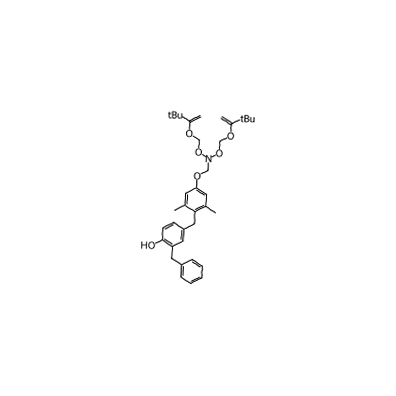 C=C(OCON(COc1cc(C)c(Cc2ccc(O)c(Cc3ccccc3)c2)c(C)c1)OCOC(=C)C(C)(C)C)C(C)(C)C